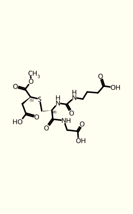 COC(=O)[C@H](CC(=O)O)SC[C@H](NC(=O)NCCCC(=O)O)C(=O)NCC(=O)O